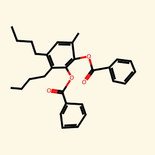 CCCCc1cc(C)c(OC(=O)c2ccccc2)c(OC(=O)c2ccccc2)c1CCCC